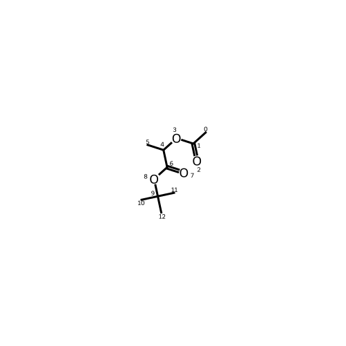 CC(=O)OC(C)C(=O)OC(C)(C)C